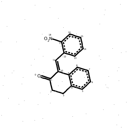 O=C1CCc2ccccc2C1=Cc1ccccc1[N+](=O)[O-]